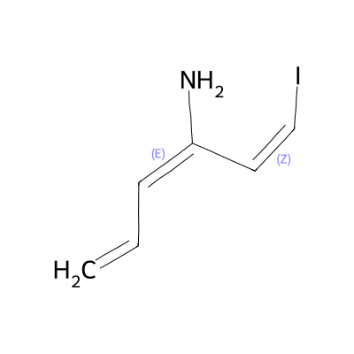 C=C/C=C(N)\C=C/I